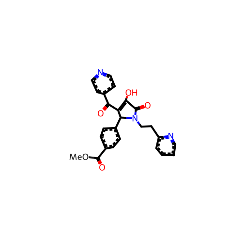 COC(=O)c1ccc(C2C(C(=O)c3ccncc3)=C(O)C(=O)N2CCc2ccccn2)cc1